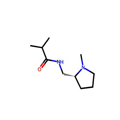 CC(C)C(=O)NC[C@H]1CCCN1C